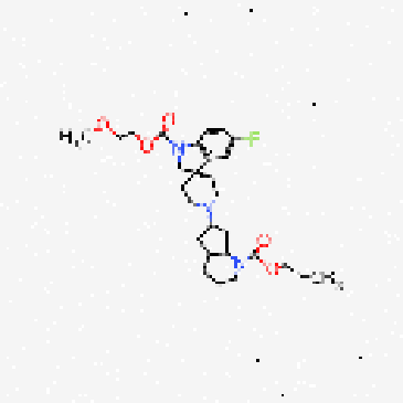 CCCOC(=O)N1CCCC2CC(N3CCC4(CC3)CN(C(=O)OCCOC)c3ccc(F)cc34)CC21